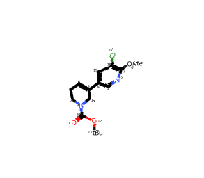 COc1ncc(C2=CCCN(C(=O)OC(C)(C)C)C2)cc1Cl